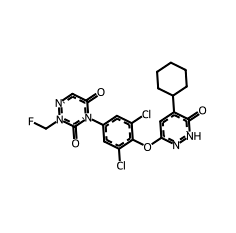 O=c1[nH]nc(Oc2c(Cl)cc(-n3c(=O)cnn(CF)c3=O)cc2Cl)cc1C1CCCCC1